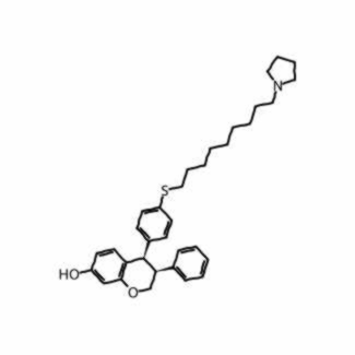 Oc1ccc2c(c1)OC[C@H](c1ccccc1)[C@@H]2c1ccc(SCCCCCCCCCN2CCCC2)cc1